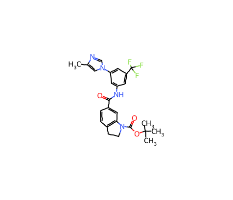 Cc1cn(-c2cc(NC(=O)c3ccc4c(c3)N(C(=O)OC(C)(C)C)CC4)cc(C(F)(F)F)c2)cn1